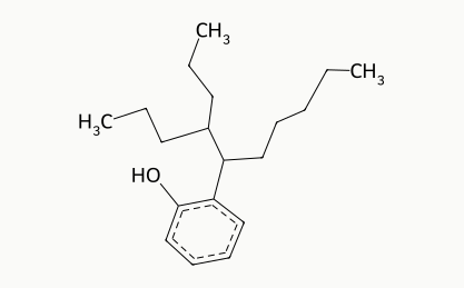 CCCCCC(c1ccccc1O)C(CCC)CCC